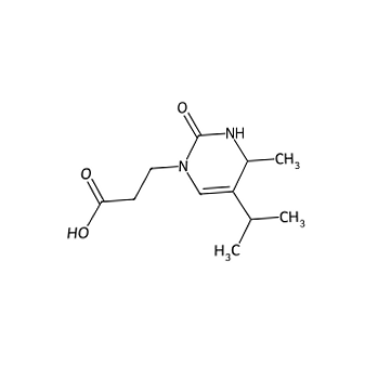 CC(C)C1=CN(CCC(=O)O)C(=O)NC1C